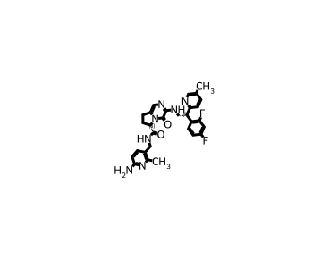 Cc1ccc([C@@H](CNc2ncc3n(c2=O)[C@H](C(=O)NCc2ccc(N)nc2C)CC3)c2ccc(F)cc2F)nc1